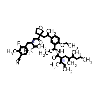 C=C=C(NC(=O)/C(CC(=C)C(=C)CCC)=C(\C)C=C)c1cc(C(=C)CC2(C(=O)/C=C(/Cc3ccc(C#N)c(C)c3F)C(=C)C)CCOC2)ccc1OCC